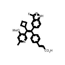 COc1cc(C)ncc1C(=C(c1ccc(C=CC(=O)O)cc1)c1ccc2[nH]nc(F)c2c1)C1CCC1